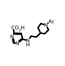 CC(=O)N1CCC(CCNc2cc(C(=O)O)ncn2)CC1